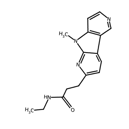 CCNC(=O)CCc1ccc2c3cnccc3n(C)c2n1